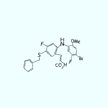 COc1cc(Br)c(F)cc1Nc1cc(F)c(SCc2ccccc2)cc1C=CC(=O)O